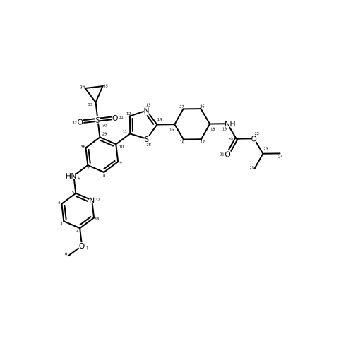 COc1ccc(Nc2ccc(-c3cnc(C4CCC(NC(=O)OC(C)C)CC4)s3)c(S(=O)(=O)C3CC3)c2)nc1